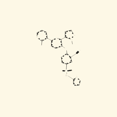 Cn1nccc1-c1nc(-c2cccnc2F)ccc1Oc1ccc(S(=O)(=O)Nc2nccs2)cc1C#N